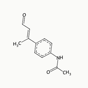 CC(=O)Nc1ccc(/C(C)=C/C=O)cc1